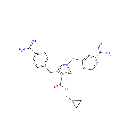 N=C(N)c1ccc(Cc2cn(Cc3cccc(C(=N)N)c3)cc2C(=O)OCC2CC2)cc1